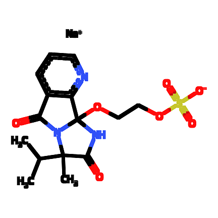 CC(C)C1(C)C(=O)NC2(OCCOS(=O)(=O)[O-])c3ncccc3C(=O)N21.[Na+]